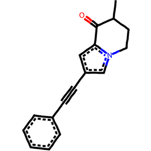 CC1CCn2cc(C#Cc3ccccc3)cc2C1=O